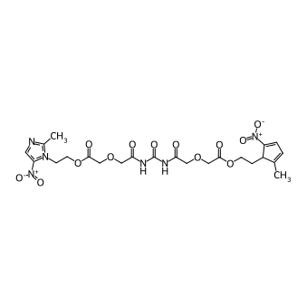 CC1=CC=C([N+](=O)[O-])C1CCOC(=O)COCC(=O)NC(=O)NC(=O)COCC(=O)OCCn1c([N+](=O)[O-])cnc1C